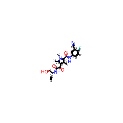 C#C[C@H](CO)NC(=O)C(=O)c1c(C)c(C(O)Nc2ccc(F)c(C#N)c2)n(C)c1C